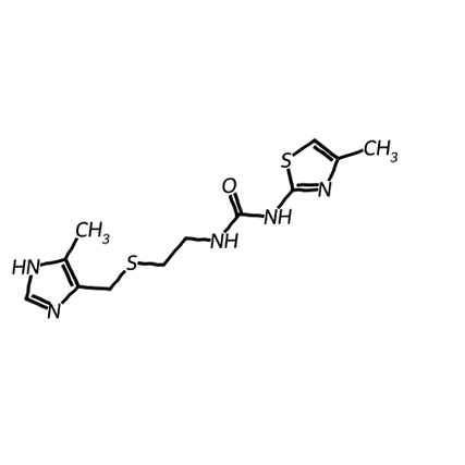 Cc1csc(NC(=O)NCCSCc2nc[nH]c2C)n1